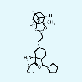 COC(=O)[C@@]1(N)C[C@H](CCB2O[C@H]3C[C@H]4C[C@H](C4(C)C)[C@@]3(C)O2)CC[C@H]1CN1CCCC1